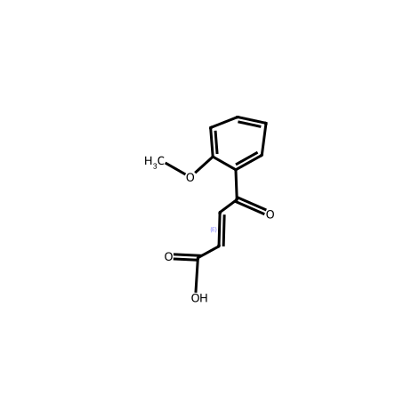 COc1ccccc1C(=O)/C=C/C(=O)O